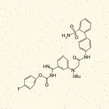 CCCCN(CC(=O)Nc1ccc(-c2ccccc2S(N)(=O)=O)cc1)c1cccc(C(=N)NC(=O)Oc2ccc(F)cc2)c1